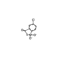 O=C1S[N+]([O-])([O-])c2ccc(Cl)cc21